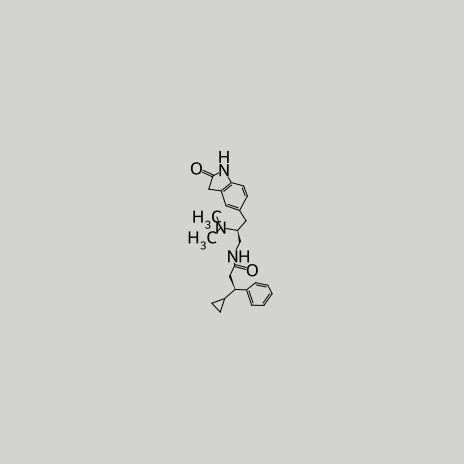 CN(C)[C@H](CNC(=O)C[C@@H](c1ccccc1)C1CC1)Cc1ccc2c(c1)CC(=O)N2